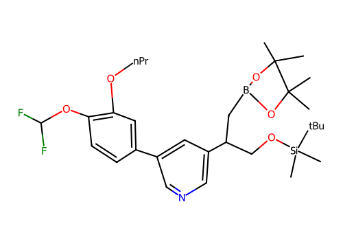 CCCOc1cc(-c2cncc(C(CO[Si](C)(C)C(C)(C)C)CB3OC(C)(C)C(C)(C)O3)c2)ccc1OC(F)F